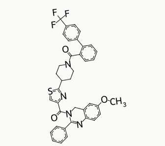 COc1ccc2c(c1)CN(C(=O)c1csc(C3CCN(C(=O)c4ccccc4-c4ccc(C(F)(F)F)cc4)CC3)n1)C(c1ccccc1)=N2